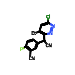 CCc1cc(Cl)nnc1C(C#N)c1ccc(F)c(C#N)c1